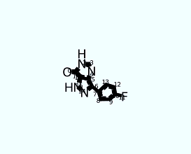 O=c1[nH]cnc2c(-c3ccc(F)cc3)n[nH]c12